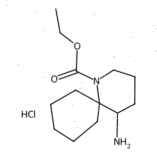 CCOC(=O)N1CCCC(N)C12CCCCC2.Cl